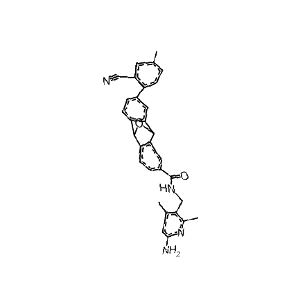 Cc1ccc(-c2ccc3c(c2)C2OC3c3ccc(C(=O)NCc4c(C)cc(N)nc4C)cc32)c(C#N)c1